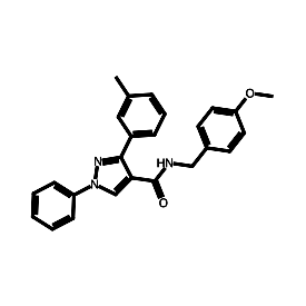 COc1ccc(CNC(=O)c2cn(-c3ccccc3)nc2-c2cccc(C)c2)cc1